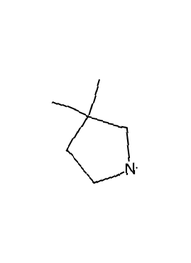 CC1(C)CC[N]C1